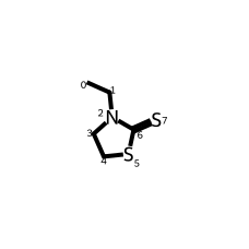 CCN1CCSC1=S